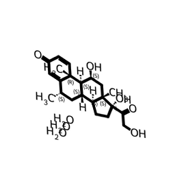 C[C@H]1C[C@@H]2[C@H]([C@@H](O)C[C@@]3(C)[C@H]2CC[C@]3(O)C(=O)CO)[C@@]2(C)C=CC(=O)C=C12.O.O.O